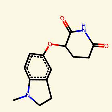 CN1CCc2cc(OC3CCC(=O)NC3=O)ccc21